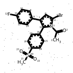 CC(=O)n1c(Br)cc(-c2ccc(F)cc2)c1-c1ccc(S(C)(=O)=O)cc1